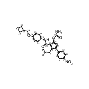 CN(C)Cc1c(-c2ccc([N+](=O)[O-])cc2)sc(OC(N)=O)c1C(=O)Nc1ccc(OCC2COC2)nc1